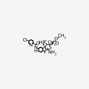 CCOC(=O)/C=C/[C@@]1(C)SC(N)=N[C@](CF)(c2cc(NC(=O)c3ccc(Cl)cn3)ccc2F)C1C